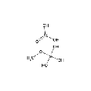 CO[Si](O)(O)O.O=[Si](O)O